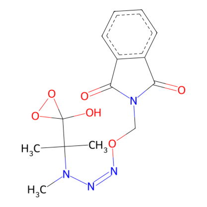 CN(/N=N\OCN1C(=O)c2ccccc2C1=O)C(C)(C)C1(O)OO1